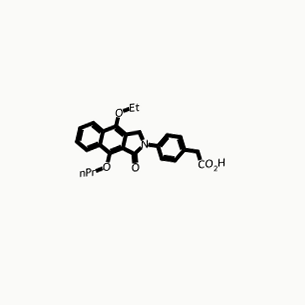 CCCOc1c2c(c(OCC)c3ccccc13)CN(c1ccc(CC(=O)O)cc1)C2=O